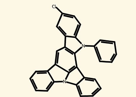 Clc1ccc2c(c1)c1cc3c4ccccc4n4c5ccccc5c(c1n2-c1ccccc1)c34